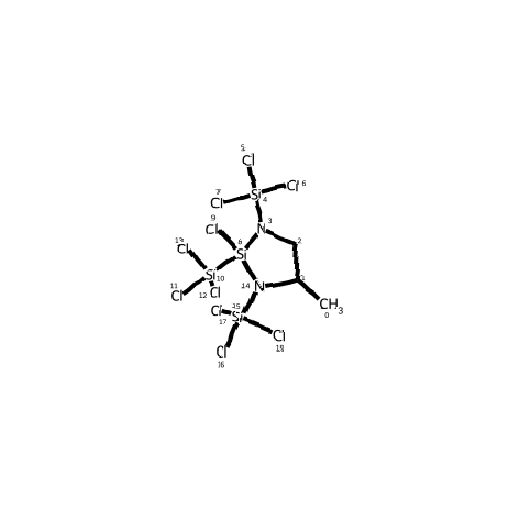 CC1CN([Si](Cl)(Cl)Cl)[Si](Cl)([Si](Cl)(Cl)Cl)N1[Si](Cl)(Cl)Cl